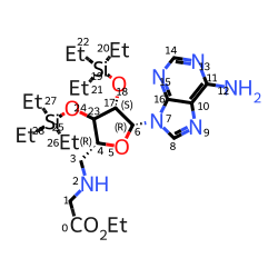 CCOC(=O)CNC[C@H]1O[C@@H](n2cnc3c(N)ncnc32)[C@@H](O[Si](CC)(CC)CC)C1O[Si](CC)(CC)CC